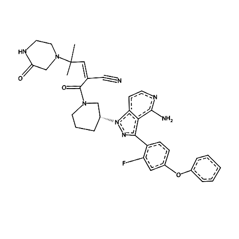 CC(C)(/C=C(/C#N)C(=O)N1CCC[C@@H](n2nc(-c3ccc(Oc4ccccc4)cc3F)c3c(N)nccc32)C1)N1CCNC(=O)C1